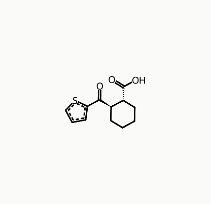 O=C(O)[C@@H]1CCCC[C@H]1C(=O)c1cccs1